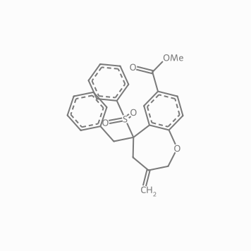 C=C1COc2ccc(C(=O)OC)cc2C(Cc2ccccc2)(S(=O)(=O)c2ccccc2)C1